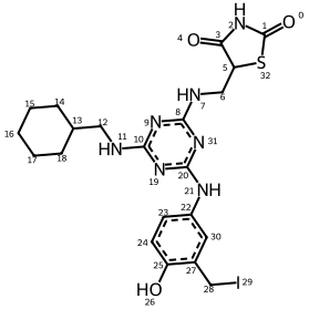 O=C1NC(=O)C(CNc2nc(NCC3CCCCC3)nc(Nc3ccc(O)c(CI)c3)n2)S1